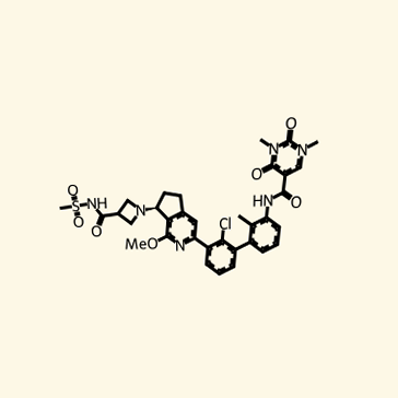 COc1nc(-c2cccc(-c3cccc(NC(=O)c4cn(C)c(=O)n(C)c4=O)c3C)c2Cl)cc2c1[C@@H](N1CC(C(=O)NS(C)(=O)=O)C1)CC2